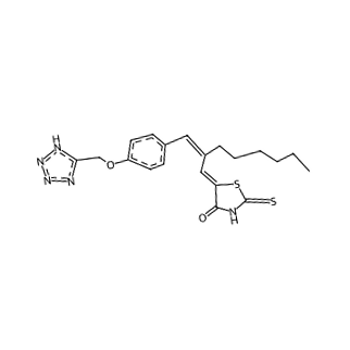 CCCCCCC(=Cc1ccc(OCc2nnn[nH]2)cc1)C=C1SC(=S)NC1=O